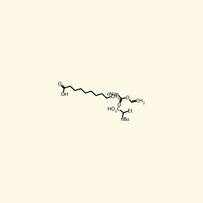 C=COC(=O)CCCCCCCCC.CCCCC(CC)C(=O)O.CCCCCCCCCC(=O)O